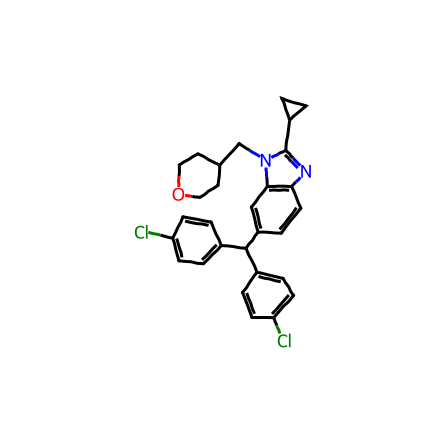 Clc1ccc(C(c2ccc(Cl)cc2)c2ccc3nc(C4CC4)n(CC4CCOCC4)c3c2)cc1